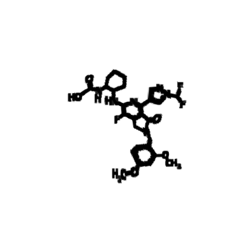 COc1ccc(CN2Cc3c(F)c(NC4CCCCC4NC(=O)O)nc(-c4cnn(C(F)F)c4)c3C2=O)c(OC)c1